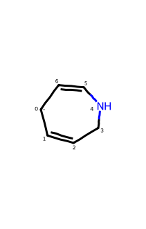 [CH]1C=CCNC=C1